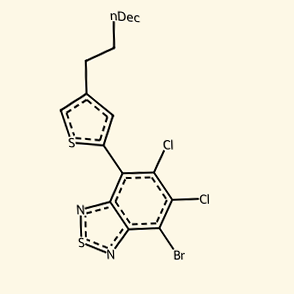 CCCCCCCCCCCCc1csc(-c2c(Cl)c(Cl)c(Br)c3nsnc23)c1